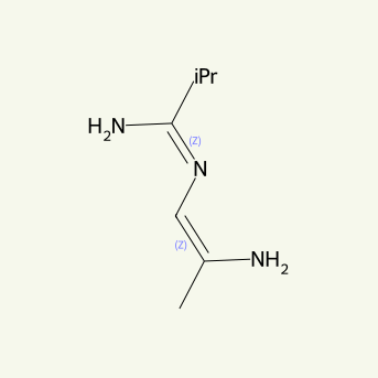 C/C(N)=C/N=C(\N)C(C)C